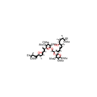 CC[C@H](OC)[C@@H](C)[C@@H]1C=C1[C@H](O)[C@@H](C)/C=C/C=C(\C)[C@@H]1O[C@@H](OCCO[C@H]2[C@H](OC)[C@H](OC)[C@@H](OC)O[C@H]2/C(C)=C/C=C/[C@H](C)[C@@H](O)[C@@H]2C[C@H]2[C@H](C)[C@H](CC)OC)[C@H](OC)[C@@H](OC)[C@@H]1OC